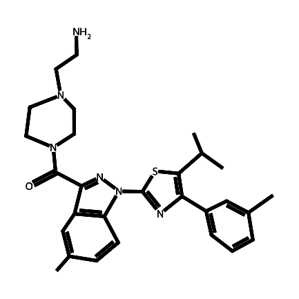 Cc1cccc(-c2nc(-n3nc(C(=O)N4CCN(CCN)CC4)c4cc(C)ccc43)sc2C(C)C)c1